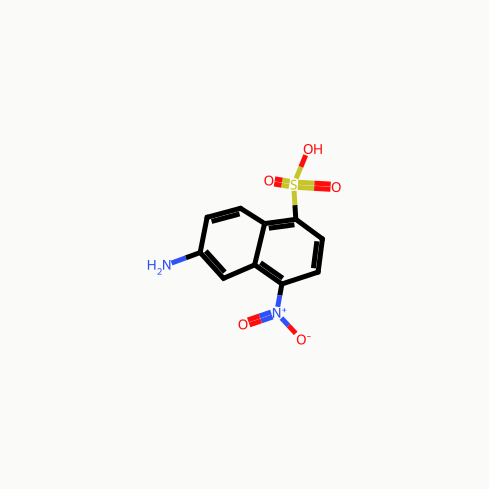 Nc1ccc2c(S(=O)(=O)O)ccc([N+](=O)[O-])c2c1